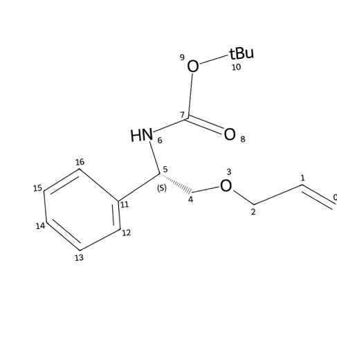 C=CCOC[C@@H](NC(=O)OC(C)(C)C)c1ccccc1